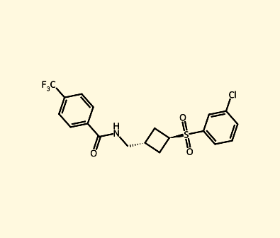 O=C(NC[C@H]1C[C@H](S(=O)(=O)c2cccc(Cl)c2)C1)c1ccc(C(F)(F)F)cc1